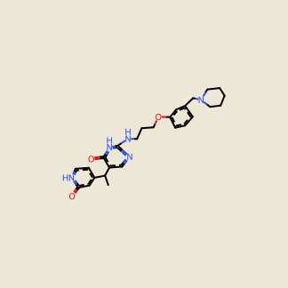 CC(c1cc[nH]c(=O)c1)c1cnc(NCCCOc2cccc(CN3CCCCC3)c2)[nH]c1=O